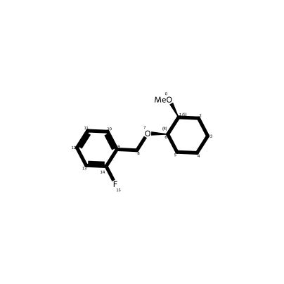 CO[C@H]1CCCC[C@H]1OCc1ccccc1F